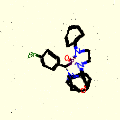 O=P1([C@@H](c2ccc(Br)cc2)N2CCOCC2)N(c2ccccc2)CCN1c1ccccc1